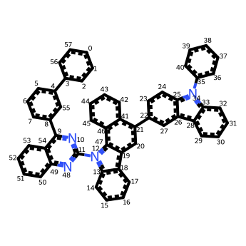 c1ccc(-c2cccc(-c3nc(-n4c5ccccc5c5cc(-c6ccc7c(c6)c6ccccc6n7-c6ccccc6)c6ccccc6c54)nc4ccccc34)c2)cc1